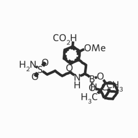 COc1c(CC(NC(=O)CCCS(N)(=O)=O)B2OC3CC4CC(C4(C)C)C3(C)O2)cccc1C(=O)O